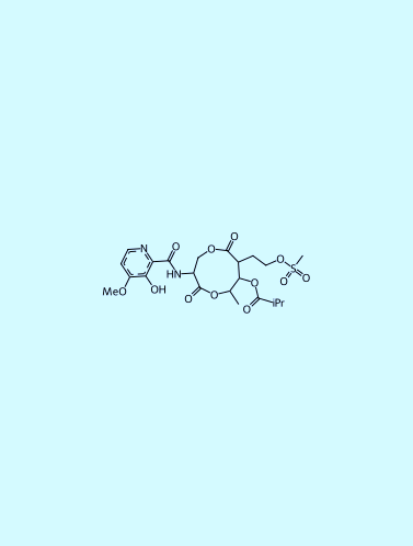 COc1ccnc(C(=O)NC2COC(=O)C(CCOS(C)(=O)=O)C(OC(=O)C(C)C)C(C)OC2=O)c1O